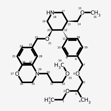 CCOC(C)COCc1ccc([C@H]2[C@H](COC)CNC[C@@H]2OCc2ccc3c(c2)N(CCCOC)CCO3)cc1